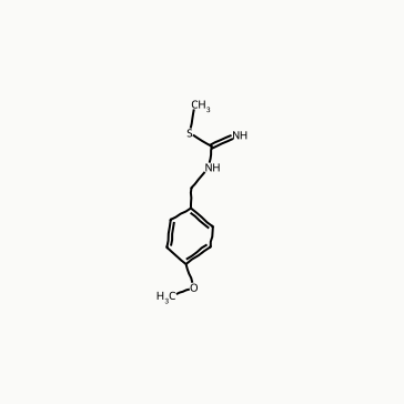 COc1ccc(CNC(=N)SC)cc1